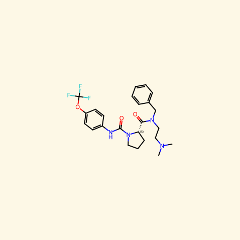 CN(C)CCN(Cc1ccccc1)C(=O)[C@@H]1CCCN1C(=O)Nc1ccc(OC(F)(F)F)cc1